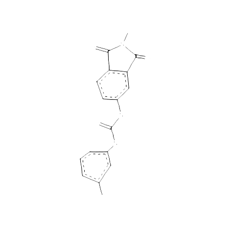 CCN1C(=O)c2ccc(NC(=O)Nc3cccc(S(=O)(=O)O)c3)cc2C1=O